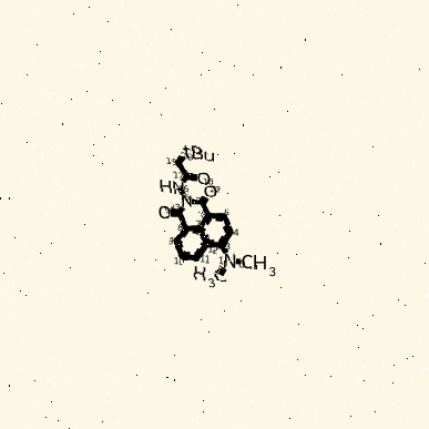 CN(C)c1ccc2c3c(cccc13)C(=O)N(NC(=O)CC(C)(C)C)C2=O